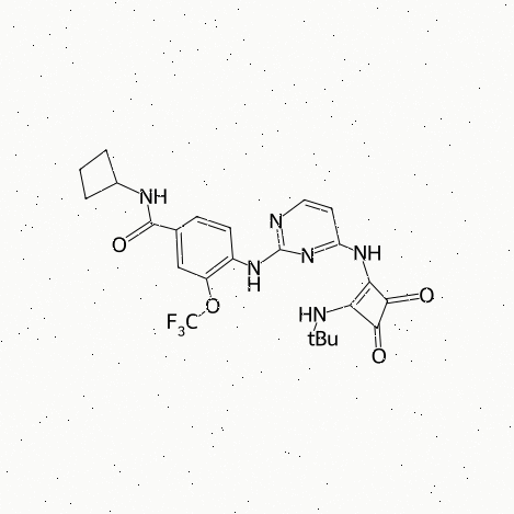 CC(C)(C)Nc1c(Nc2ccnc(Nc3ccc(C(=O)NC4CCC4)cc3OC(F)(F)F)n2)c(=O)c1=O